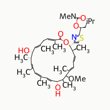 CNC(=O)O[C@@H](CC(C)C)c1nc([C@H]2OC(=O)/C(C)=C/C/C(C)=C/[C@@H](O)[C@@H](C)\C=C(C)/C=C(C)\C=C\[C@@H](O)[C@H](C)[C@H](OC)/C(C)=C/C=C/[C@@H]2C)cs1